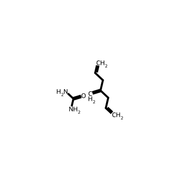 C=CCC(=C)CC=C.NC(N)=O